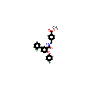 COC(=O)c1ccc(CNC(=O)c2cc(-c3ccccc3F)ccc2Oc2ccc(F)cc2)cc1